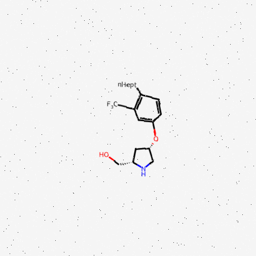 CCCCCCCc1ccc(O[C@@H]2CN[C@H](CO)C2)cc1C(F)(F)F